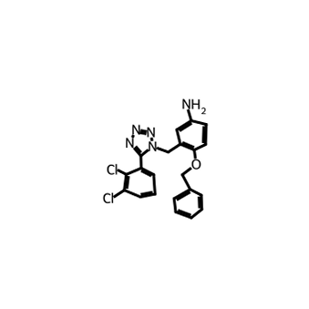 Nc1ccc(OCc2ccccc2)c(Cn2nnnc2-c2cccc(Cl)c2Cl)c1